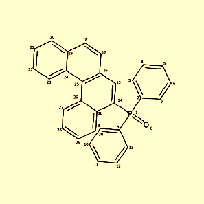 O=P(c1ccccc1)(c1ccccc1)c1cc2ccc3ccccc3c2c2ccccc12